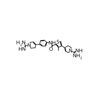 Cc1c(C2=CCN(C(=N)N)CC2)csc1C(=O)Nc1ccc(C2=CCN(C(=N)N)CC2)cc1